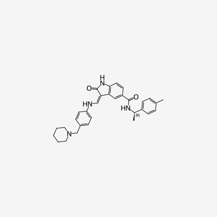 Cc1ccc([C@@H](C)NC(=O)c2ccc3c(c2)C(=CNc2ccc(CN4CCCCC4)cc2)C(=O)N3)cc1